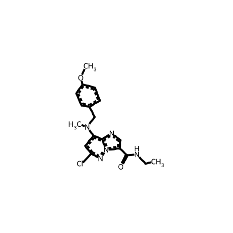 CCNC(=O)c1cnc2c(N(C)Cc3ccc(OC)cc3)cc(Cl)nn12